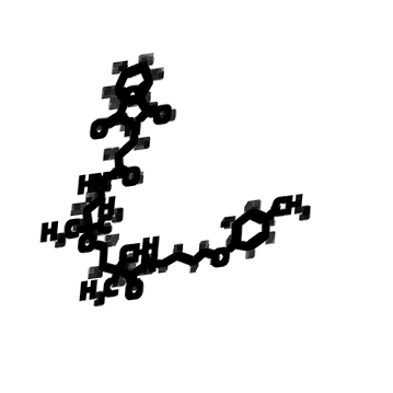 Cc1ccc(OCCCCNC(=O)C(C)(C)CCOC(C)(C)CCNC(=O)CCN2C(=O)C3C4C=CC(O4)C3C2=O)cc1